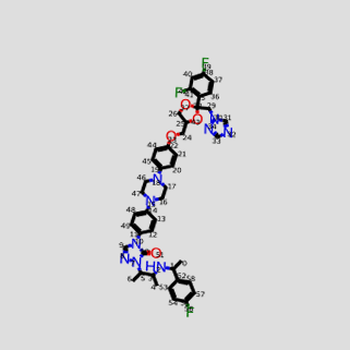 CC(NC(C)C(C)n1ncn(-c2ccc(N3CCN(c4ccc(OCC5COC(Cn6cncn6)(c6ccc(F)cc6F)O5)cc4)CC3)cc2)c1=O)c1ccc(F)cc1